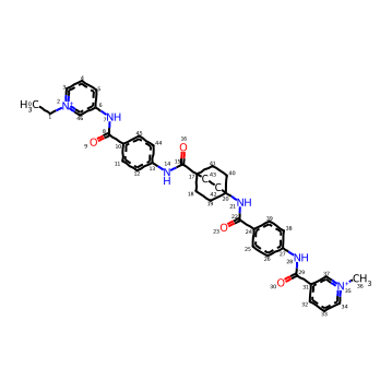 CC[n+]1cccc(NC(=O)c2ccc(NC(=O)C34CCC(NC(=O)c5ccc(NC(=O)c6ccc[n+](C)c6)cc5)(CC3)CC4)cc2)c1